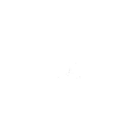 OC1OC2CC3CC(C2)CC1C3